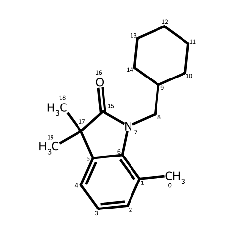 Cc1cccc2c1N(CC1CCCCC1)C(=O)C2(C)C